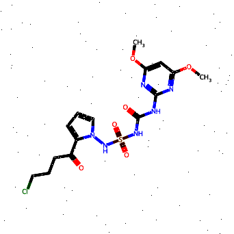 COc1cc(OC)nc(NC(=O)NS(=O)(=O)Nn2cccc2C(=O)CCCCl)n1